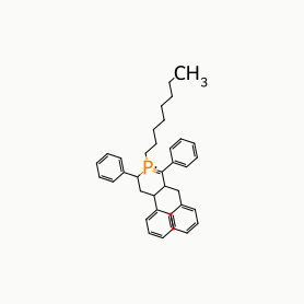 CCCCCCCC[P]1=C(c2ccccc2)C(Cc2ccccc2)C(c2ccccc2)CC1c1ccccc1